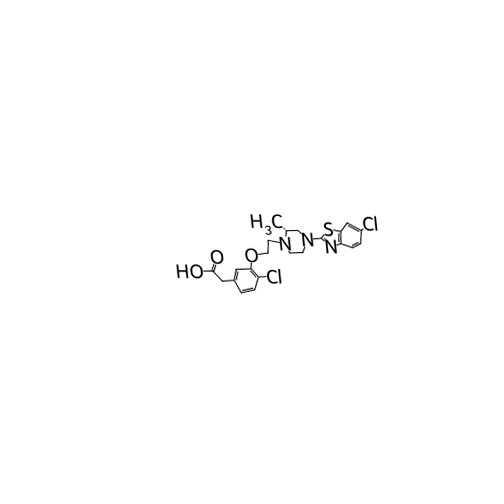 C[C@@H]1CN(c2nc3ccc(Cl)cc3s2)CCN1CCOc1cc(CC(=O)O)ccc1Cl